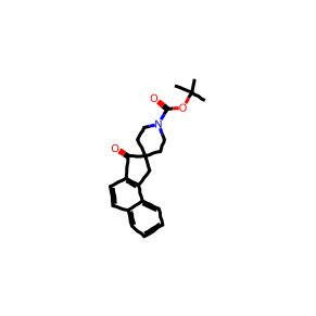 CC(C)(C)OC(=O)N1CCC2(CC1)Cc1c(ccc3ccccc13)C2=O